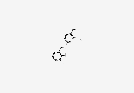 COc1nc(OCc2cccc(Br)c2F)ccc1C=O